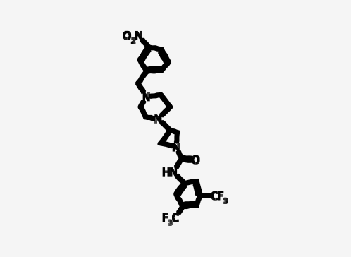 O=C(Nc1cc(C(F)(F)F)cc(C(F)(F)F)c1)N1CC(N2CCN(Cc3cccc([N+](=O)[O-])c3)CC2)C1